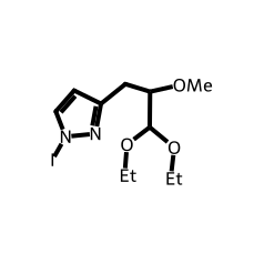 CCOC(OCC)C(Cc1ccn(I)n1)OC